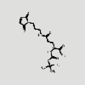 CC(C)(C)OC(=O)N[C@@H](CCC(=O)NCCCN1C(=O)C=CC1=O)C(N)=O